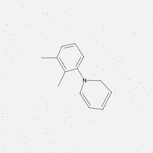 Cc1cccc(N2C=CC=CC2)c1C